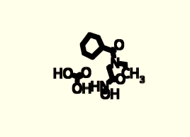 CCN(CC(=O)NO)C(=O)C1CCCCC1.O=C(O)O